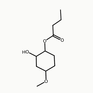 CCCC(=O)OC1CCC(OC)CC1O